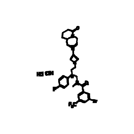 CN(C[C@@H](CCN1CC(N2CCN3C(=O)CCCC3C2)C1)c1ccc(F)cc1)C(=O)c1cc(Br)cc(C(F)(F)F)c1.Cl.Cl